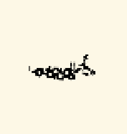 CCOC(=O)C1C[S+]([O-])CCN1CCN[C@]12CCCC1C1CCC3C(C)(CCC4C(C)(C)C(C5=CCC(CF)CC5)=CCC43C)C1CC2